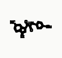 CCn1cc(C(=O)C(=O)Nc2ccc(C(C)(C)C)cc2)c2cc(C#N)ccc21